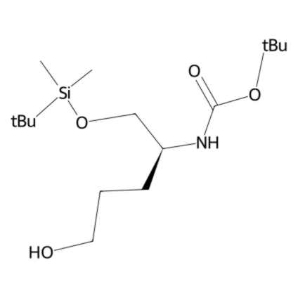 CC(C)(C)OC(=O)N[C@@H](CCCO)CO[Si](C)(C)C(C)(C)C